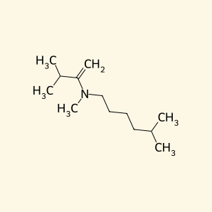 C=C(C(C)C)N(C)CCCCC(C)C